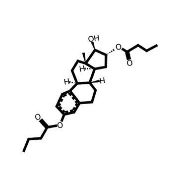 CCCC(=O)Oc1ccc2c(c1)CC[C@@H]1[C@@H]2CC[C@]2(C)[C@@H](O)[C@H](OC(=O)CCC)C[C@@H]12